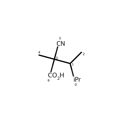 CC(C)C(C)C(C)(C#N)C(=O)O